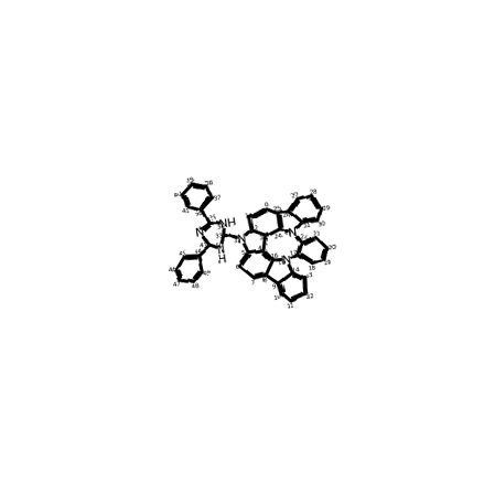 C1=CC2C3c4c(ccc5c6ccccc6n(c45)-c4ccccc4-n4c3c1c1ccccc14)N2C1NC(c2ccccc2)=NC(c2ccccc2)N1